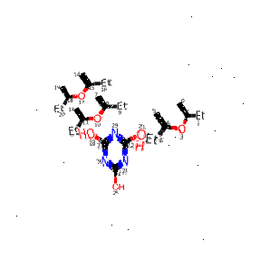 C=C(CC)OC(=C)CC.C=C(CC)OC(=C)CC.C=C(CC)OC(=C)CC.Oc1nc(O)nc(O)n1